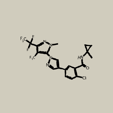 Cn1nc(C(F)(F)C(F)(F)F)c(C(F)(F)F)c1-n1cc(-c2ccc(Cl)c(C(=O)NC3(C)CC3)c2)cn1